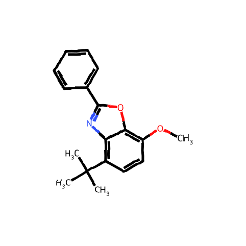 COc1ccc(C(C)(C)C)c2nc(-c3ccccc3)oc12